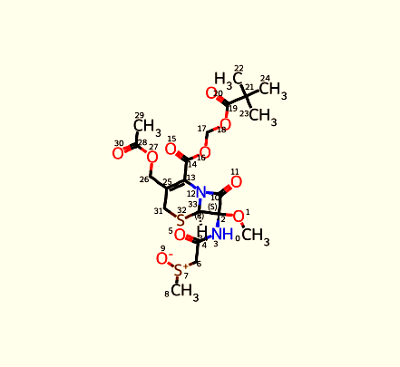 CO[C@@]1(NC(=O)C[S+](C)[O-])C(=O)N2C(C(=O)OCOC(=O)C(C)(C)C)=C(COC(C)=O)CS[C@@H]21